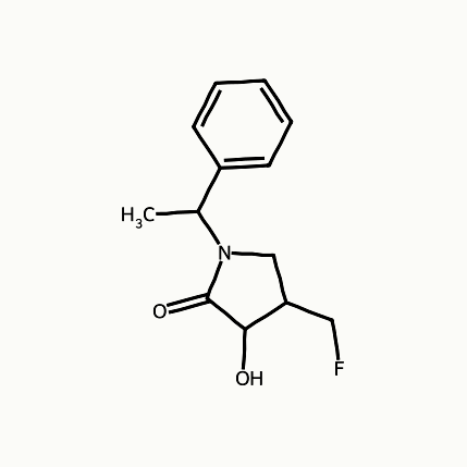 CC(c1ccccc1)N1CC(CF)C(O)C1=O